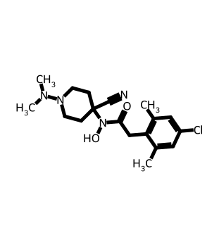 Cc1cc(Cl)cc(C)c1CC(=O)N(O)C1(C#N)CCN(N(C)C)CC1